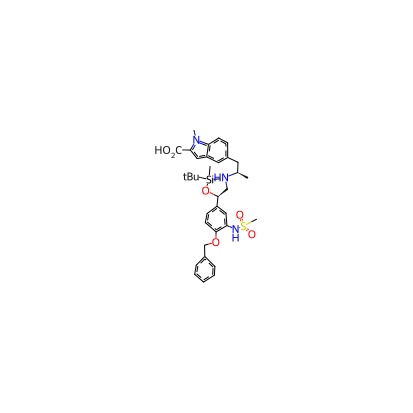 C[C@H](Cc1ccc2c(c1)cc(C(=O)O)n2C)NC[C@H](O[Si](C)(C)C(C)(C)C)c1ccc(OCc2ccccc2)c(NS(C)(=O)=O)c1